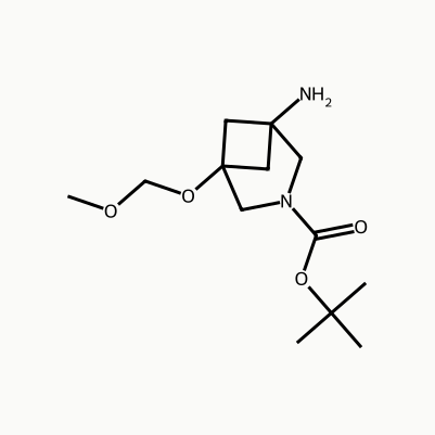 COCOC12CN(C(=O)OC(C)(C)C)CC(N)(C1)C2